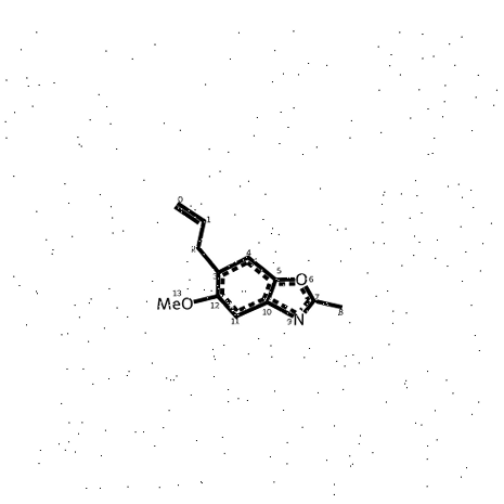 C=CCc1cc2oc(C)nc2cc1OC